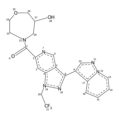 O=C(c1cc2c(cn1)c(-c1cnn3ccccc13)nn2CC(F)(F)F)N1CCOCC(O)C1